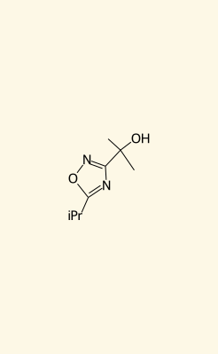 CC(C)c1nc(C(C)(C)O)no1